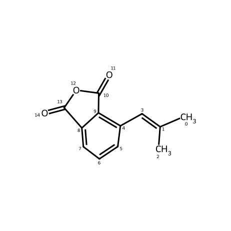 CC(C)=Cc1cccc2c1C(=O)OC2=O